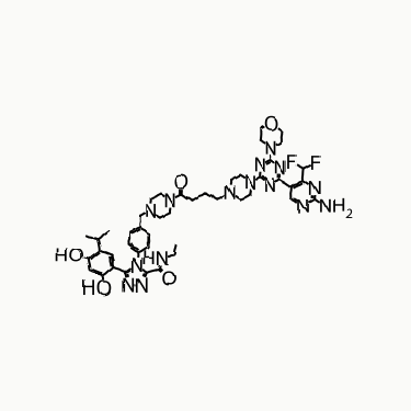 CCNC(=O)c1nnc(-c2cc(C(C)C)c(O)cc2O)n1-c1ccc(CN2CCN(C(=O)CCCN3CCN(c4nc(-c5cnc(N)nc5C(F)F)nc(N5CCOCC5)n4)CC3)CC2)cc1